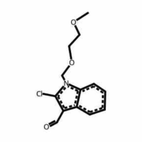 COCCOCn1c(Cl)c(C=O)c2ccccc21